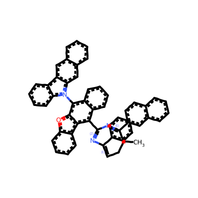 CC1C/C=C(c2ccccc2)/N=C(c2c3ccccc3c(-n3c4ccccc4c4cc5ccccc5cc43)c3oc4ccccc4c23)\N=C/1c1ccc2ccccc2c1